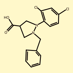 O=C(O)C1CN(Cc2ccccc2)N(c2ccc(Cl)cc2Cl)C1